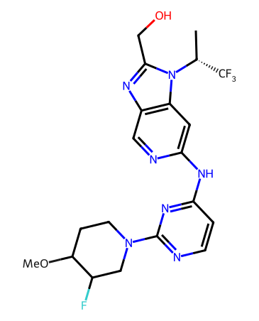 COC1CCN(c2nccc(Nc3cc4c(cn3)nc(CO)n4[C@H](C)C(F)(F)F)n2)CC1F